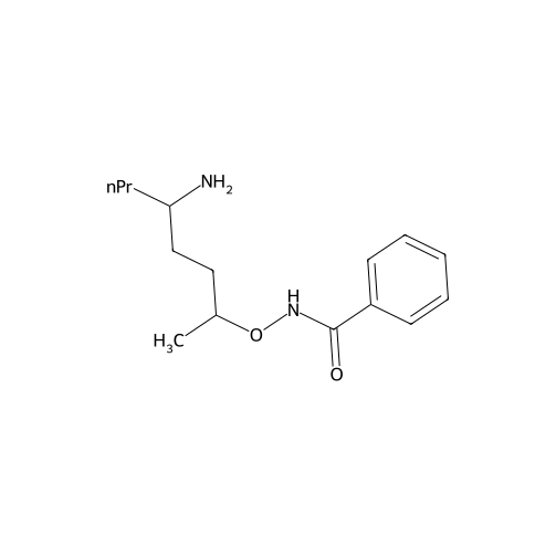 CCCC(N)CCC(C)ONC(=O)c1ccccc1